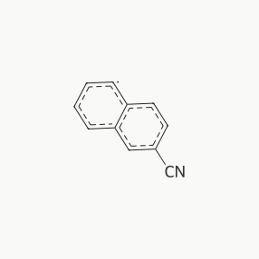 N#Cc1ccc2[c]cccc2c1